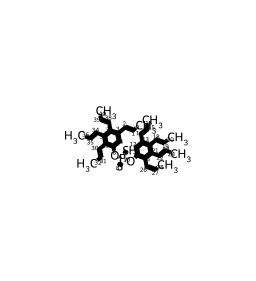 CC=Cc1cc(OP(=S)(S)Oc2cc(C=CC)c(C=CC)c(C=CC)c2C=CC)c(C=CC)c(C=CC)c1C=CC